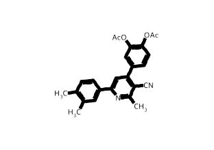 CC(=O)Oc1ccc(-c2cc(-c3ccc(C)c(C)c3)nc(C)c2C#N)cc1OC(C)=O